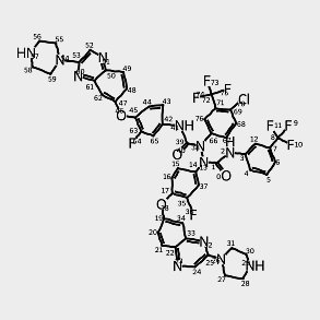 O=C(Nc1cccc(C(F)(F)F)c1)N(c1ccc(Oc2ccc3ncc(N4CCNCC4)nc3c2)c(F)c1)N(C(=O)Nc1ccc(Oc2ccc3ncc(N4CCNCC4)nc3c2)c(F)c1)c1ccc(Cl)c(C(F)(F)F)c1